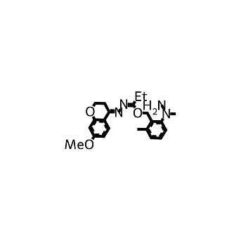 CCC(=NN=C1CCOc2cc(OC)ccc21)OCc1c(C)cccc1N(C)N